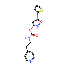 O=C(NCCc1ccncc1)Oc1cc(-c2cccs2)on1